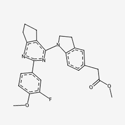 COC(=O)Cc1ccc2c(c1)CCN2c1nc(-c2ccc(OC)c(F)c2)nc2c1CCC2